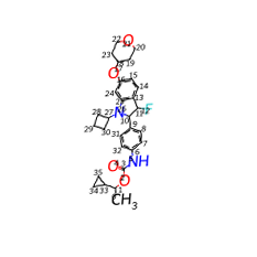 CC(OC(=O)Nc1ccc(C2C(F)c3ccc(OC4CCOCC4)cc3N2C2CCC2)cc1)C1CC1